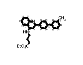 CCOC(=O)CCCNc1cc(-c2ccc(-c3cccc(C)c3)cc2)nc2ccccc12